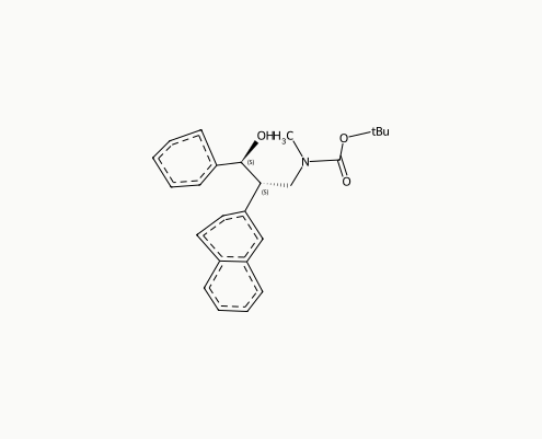 CN(C[C@H](c1ccc2ccccc2c1)[C@H](O)c1ccccc1)C(=O)OC(C)(C)C